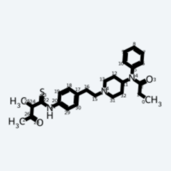 CCC(=O)N(c1ccccc1)C1CCN(CCc2ccc(NC(=S)C(C)C(C)=O)cc2)CC1